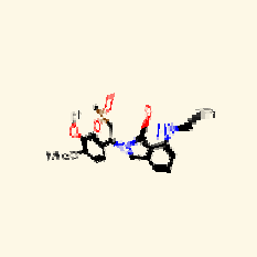 CCOc1cc([C@@H](CS(C)(=O)=O)N2Cc3cccc(NCC(C)C)c3C2=O)ccc1OC